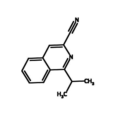 CC(C)c1nc(C#N)cc2ccccc12